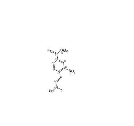 CCN(C)/C=C/c1ccc(C(=O)OC)cc1[N+](=O)[O-]